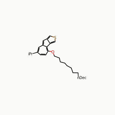 CCCCCCCCCCCCCCCCCCOc1ccc(C(C)C)cc2cc3cscc3c1-2